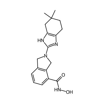 CC1(C)CCc2nc(N3Cc4cccc(C(=O)NO)c4C3)[nH]c2C1